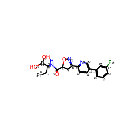 CC(C)C[C@H](NC(=O)C1CC(c2ccc(-c3cccc(F)c3)cn2)=NO1)B(O)O